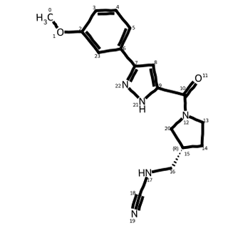 COc1cccc(-c2cc(C(=O)N3CC[C@H](CNC#N)C3)[nH]n2)c1